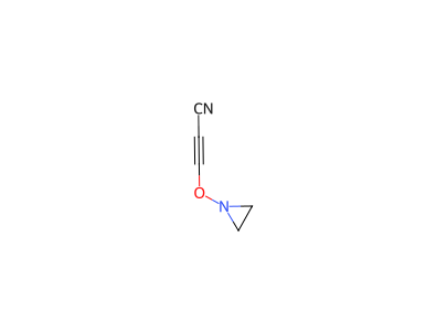 N#CC#CON1CC1